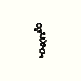 COc1ccc(-c2nc(C[S+]([O-])CC(=O)NCc3ccccc3Cl)c(C)o2)cc1